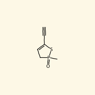 C#CC1=CCP(C)(=O)S1